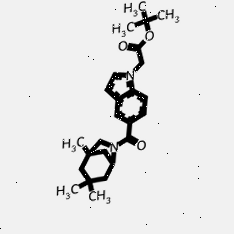 CC1(C)CC2CC(C)(CN2C(=O)c2ccc3c(ccn3CC(=O)OC(C)(C)C)c2)C1